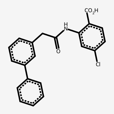 O=C(Cc1cccc(-c2ccccc2)c1)Nc1cc(Cl)ccc1C(=O)O